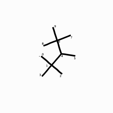 [CH2]C(C)(C)C(C)C(C)(C)C